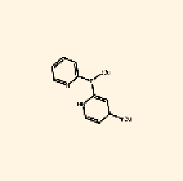 CCCCC1C=CNC(P(c2ccccn2)C(C)(C)C)=C1